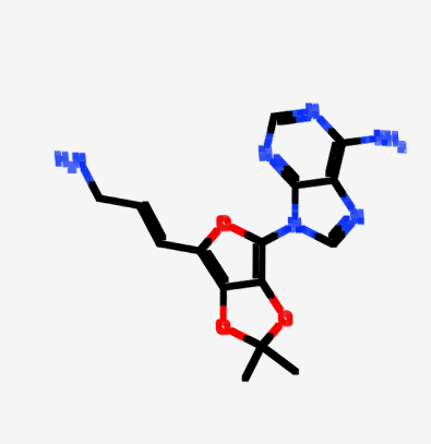 CC1(C)Oc2c(/C=C/CN)oc(-n3cnc4c(N)ncnc43)c2O1